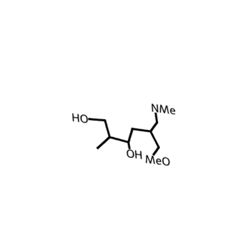 CNCC(COC)CC(O)C(C)CO